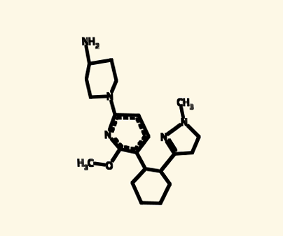 COc1nc(N2CCC(N)CC2)ccc1C1CCCCC1C1=NN(C)CC1